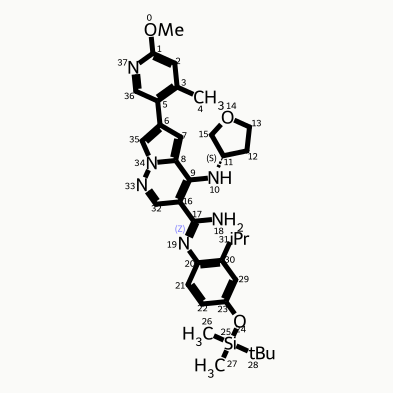 COc1cc(C)c(-c2cc3c(N[C@H]4CCOC4)c(/C(N)=N/c4ccc(O[Si](C)(C)C(C)(C)C)cc4C(C)C)cnn3c2)cn1